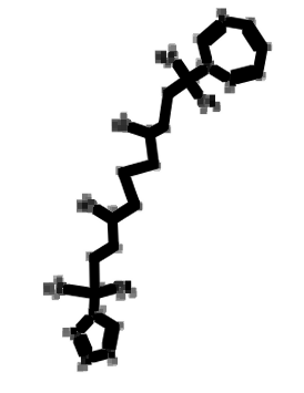 CC(C)(CCC(O)CCCC(O)CCC(C)(C)n1cnnn1)N1C=NC=CC=N1